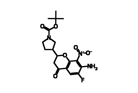 CC(C)(C)OC(=O)N1CCC(C2CC(=O)c3cc(F)c(N)c([N+](=O)[O-])c3O2)C1